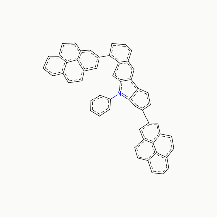 c1ccc(-n2c3cc(-c4cc5ccc6cccc7ccc(c4)c5c67)ccc3c3cc4cccc(-c5cc6ccc7cccc8ccc(c5)c6c78)c4cc32)cc1